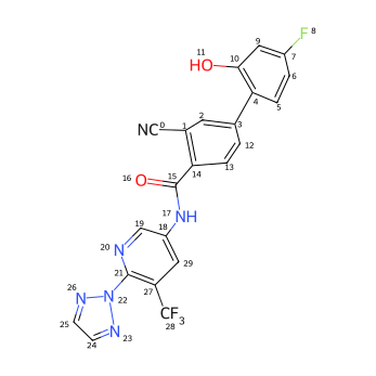 N#Cc1cc(-c2ccc(F)cc2O)ccc1C(=O)Nc1cnc(-n2nccn2)c(C(F)(F)F)c1